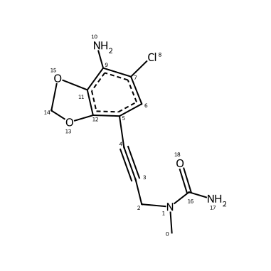 CN(CC#Cc1cc(Cl)c(N)c2c1OCO2)C(N)=O